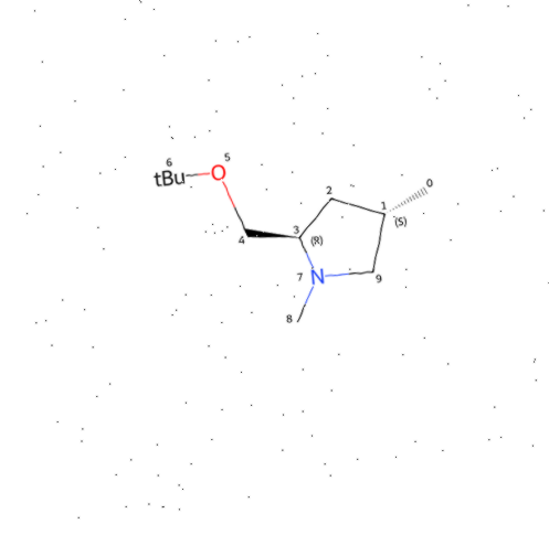 C[C@H]1C[C@H](COC(C)(C)C)N(C)C1